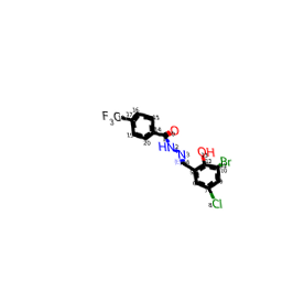 O=C(N/N=C/c1cc(Cl)cc(Br)c1O)c1ccc(C(F)(F)F)cc1